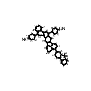 CC1(C)c2ccccc2-c2ccc(-c3ccc4c5c(cccc35)-c3cc5c(cc3-4)c(-c3ccc(C#N)cc3)cc3c4ccccc4c(-c4ccc(C#N)cc4)cc53)cc21